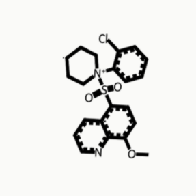 COc1ccc(S(=O)(=O)[N+]2(c3ccccc3Cl)CC[CH]CC2)c2cccnc12